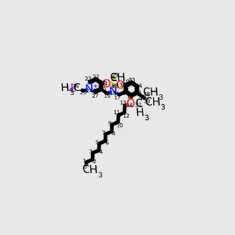 CCCCCCCCCCCCCCOc1c(CN(Cc2ccc[n+](CC)c2)S(C)(=O)=O)cccc1C(C)(C)C.[I-]